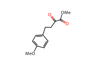 COC(=O)C(=O)CCc1ccc(OC)cc1